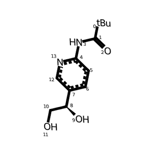 CC(C)(C)C(=O)Nc1ccc([C@@H](O)CO)cn1